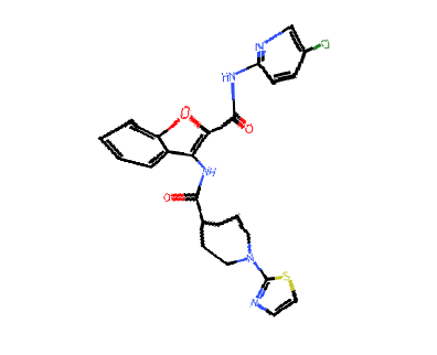 O=C(Nc1ccc(Cl)cn1)c1oc2ccccc2c1NC(=O)C1CCN(c2nccs2)CC1